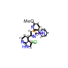 COc1ccc(CN2C3CC2CN(c2nc(-c4ccnc5[nH]cc(Cl)c45)cs2)C3)cn1